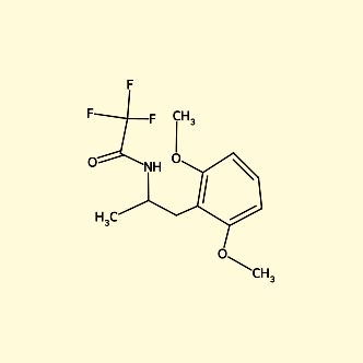 COc1cccc(OC)c1CC(C)NC(=O)C(F)(F)F